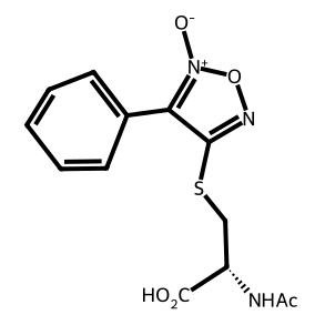 CC(=O)N[C@@H](CSc1no[n+]([O-])c1-c1ccccc1)C(=O)O